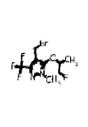 CC(CF)Oc1c(CBr)c(C(F)(F)F)nn1C